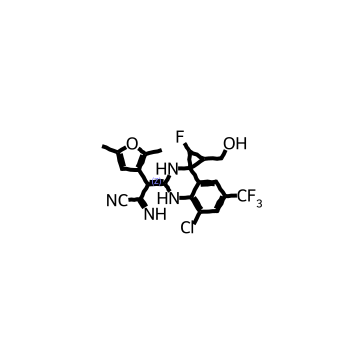 Cc1cc(/C(C(=N)C#N)=C2/Nc3c(Cl)cc(C(F)(F)F)cc3C3(N2)C(F)C3CO)c(C)o1